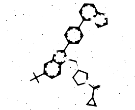 O=C(C1CC1)N1CC[C@@H](Cn2c(-c3ccc(-c4cccc5nccn45)cc3)nc3cc(C(F)(F)F)ccc32)C1